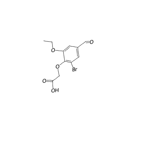 CCOc1cc(C=O)cc(Br)c1OCC(=O)O